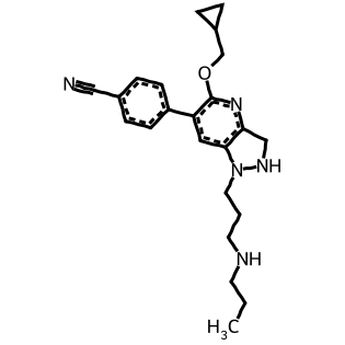 CCCNCCCN1NCc2nc(OCC3CC3)c(-c3ccc(C#N)cc3)cc21